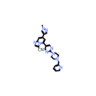 Cn1cc(-c2cc(-c3cnc(N4CCN(Cc5ccccn5)CC4)nc3)n3c(C#N)cnc3c2)cn1